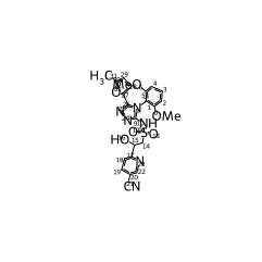 COc1cccc(OC)c1-n1c(NS(=O)(=O)CC(O)c2ccc(C#N)cn2)nnc1-c1ccc(C)o1